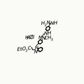 CCOC(=O)CCc1nc2ccccc2n1Cc1ccc2c(c1)nc(CNc1ccc(C(=N)N)cc1)n2C.Cl.Cl